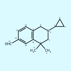 CC1(C)CN(C2CC2)Cc2ccc(C=O)cc21